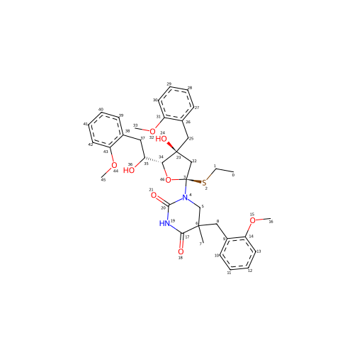 CCS[C@]1(N2CC(C)(Cc3ccccc3OC)C(=O)NC2=O)C[C@@](O)(Cc2ccccc2OC)[C@@H](C(O)Cc2ccccc2OC)O1